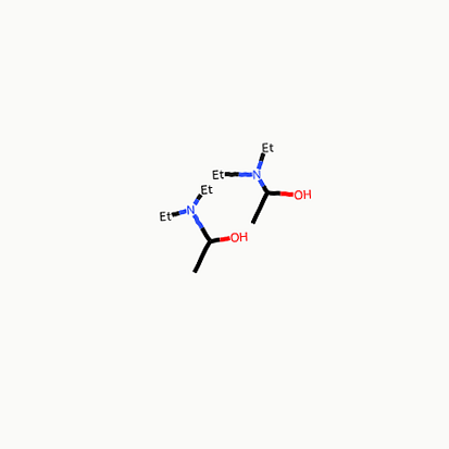 CCN(CC)C(C)O.CCN(CC)C(C)O